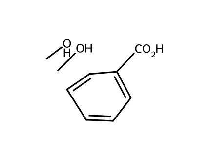 CO.CO.O=C(O)c1ccccc1